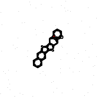 O=C1C(=O)C2c3ccccc3C1c1sc3c(sc4cc5ccccc5cc43)c12